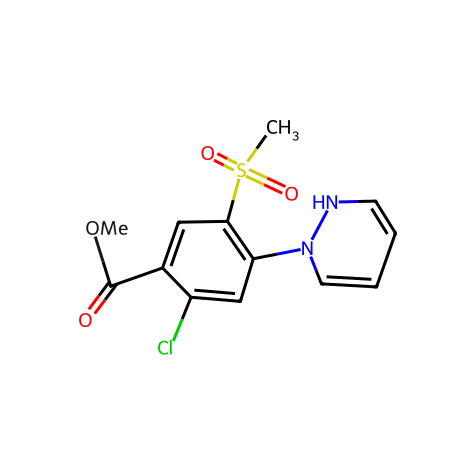 COC(=O)c1cc(S(C)(=O)=O)c(N2C=CC=CN2)cc1Cl